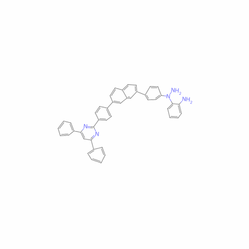 Nc1ccccc1N(N)c1ccc(-c2ccc3ccc(-c4ccc(-c5nc(-c6ccccc6)cc(-c6ccccc6)n5)cc4)cc3c2)cc1